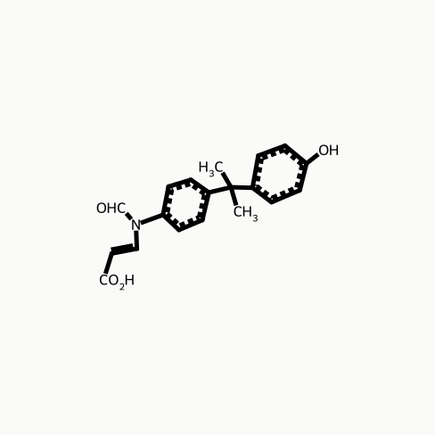 CC(C)(c1ccc(O)cc1)c1ccc(N(C=O)C=CC(=O)O)cc1